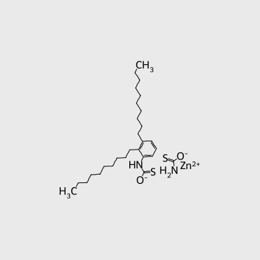 CCCCCCCCCCc1cccc(NC([O-])=S)c1CCCCCCCCCC.NC([O-])=S.[Zn+2]